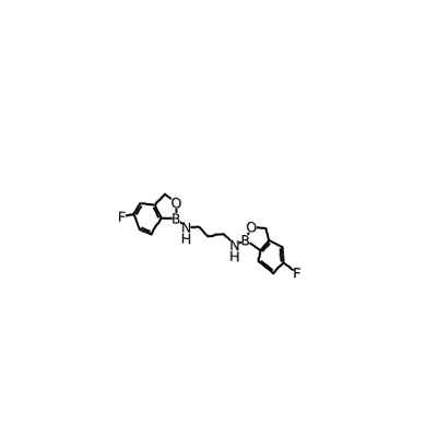 Fc1ccc2c(c1)COB2NCCCNB1OCc2cc(F)ccc21